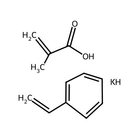 C=C(C)C(=O)O.C=Cc1ccccc1.[KH]